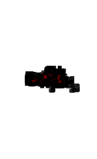 CC(C)c1cc(F)ccc1N1/C(=N/C(=O)NC(C)c2ccc(-c3ncn(-c4ccc(OC(F)(F)F)cc4)n3)cc2)SCCC1C